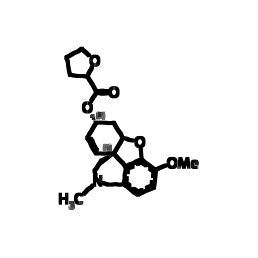 COc1ccc2c3c1OC1C[C@@H](OC(=O)C4CCCO4)C=C[C@@]31CCN(C)C2